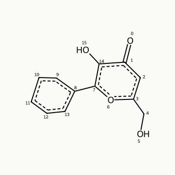 O=c1cc(CO)oc(-c2ccccc2)c1O